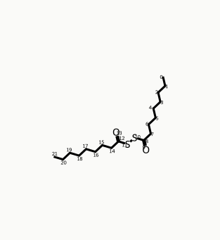 CCCCCCCCC(=O)SSC(=O)CCCCCCCC